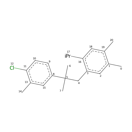 Cc1cc(CC(C)(C)c2ccc(Cl)c(C)c2)c(C(C)C)cc1C